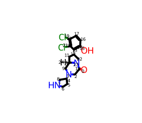 O=C1CN([C@H]2CCNC2)C[C@@H]2C[C@H](c3c(O)ccc(Cl)c3Cl)CN12